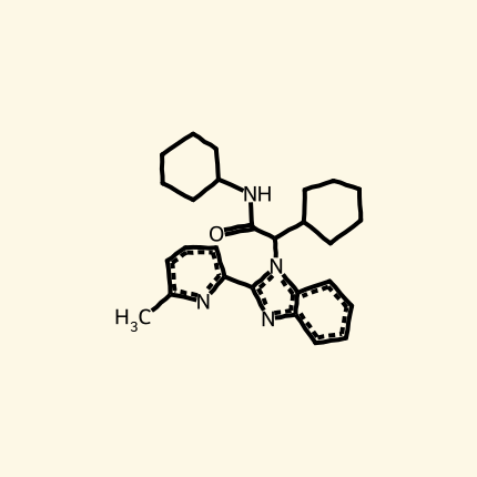 Cc1cccc(-c2nc3ccccc3n2C(C(=O)NC2CCCCC2)C2CCCCC2)n1